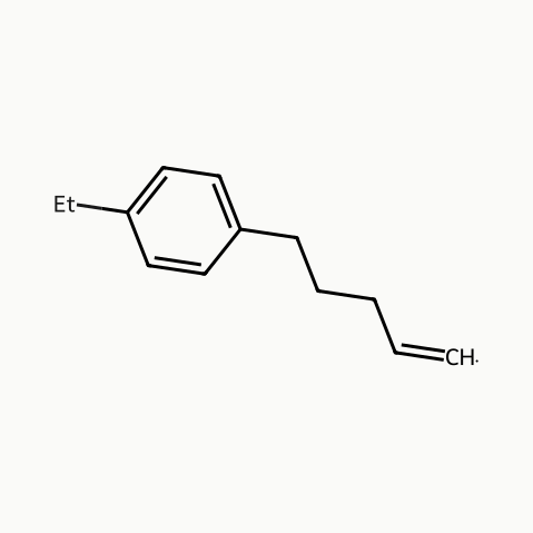 [CH]=CCCCc1ccc(CC)cc1